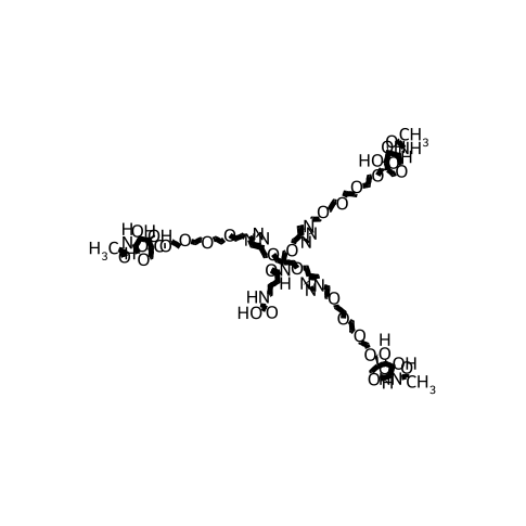 CC(=O)N[C@H]1[C@H]2OC[C@@](COCCOCCOCCOCCn3cc(COCC(COCc4cn(CCOCCOCCOCCOC[C@]56CO[C@@H](O5)[C@H](NC(C)=O)[C@@H](O)[C@H]6O)nn4)(COCc4cn(CCOCCOCCOCCOC[C@]56CO[C@@H](O5)[C@H](NC(C)=O)[C@@H](O)[C@H]6O)nn4)NC(=O)CCCNC(=O)O)nn3)(O2)[C@H](O)[C@@H]1O